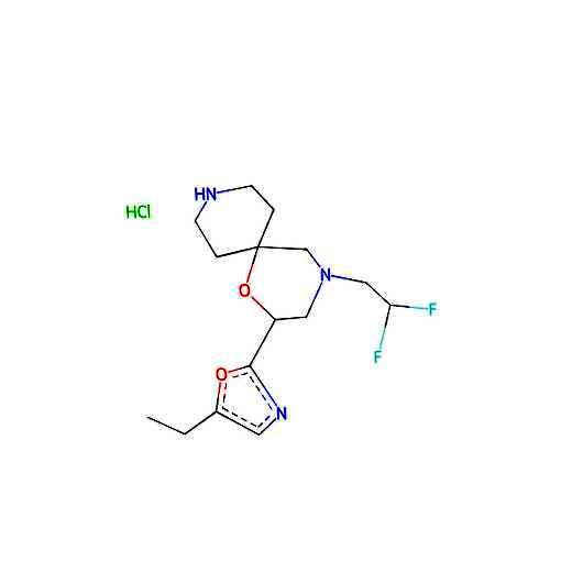 CCc1cnc(C2CN(CC(F)F)CC3(CCNCC3)O2)o1.Cl